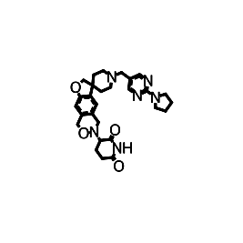 O=C1CCC(N2Cc3cc4c(cc3CO2)OCC42CCN(Cc3cnc(N4CCCC4)nc3)CC2)C(=O)N1